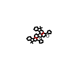 CC1(C)c2ccccc2-c2ccc(-c3ccccc3N(c3ccc4c(c3)oc3ccccc34)c3ccccc3-c3cccc4c3-c3ccccc3C4(C)C)cc21